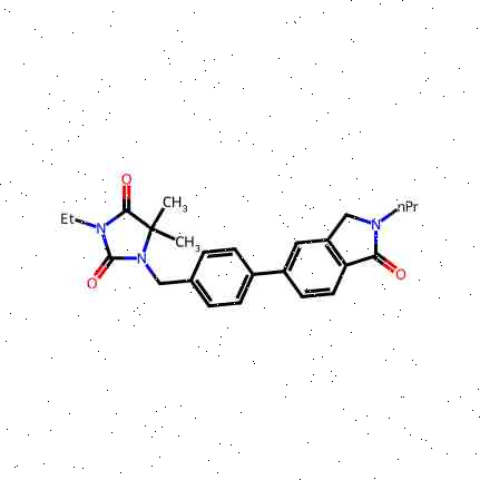 CCCN1Cc2cc(-c3ccc(CN4C(=O)N(CC)C(=O)C4(C)C)cc3)ccc2C1=O